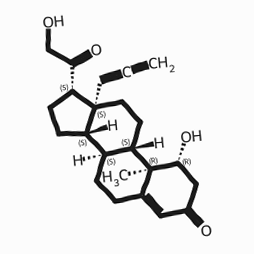 C=C=C[C@]12CC[C@H]3[C@@H](CCC4=CC(=O)C[C@@H](O)[C@@]43C)[C@@H]1CC[C@@H]2C(=O)CO